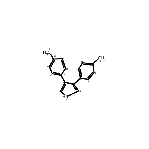 Cc1ccc(-c2c[nH]cc2-c2ccc(C)cc2)cc1